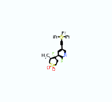 CC(C)S(C#Cc1cnc(F)c([C@@]2(F)CCS(=O)(=O)C[C@@H]2C)c1)(C(C)C)C(C)C